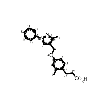 Cc1cc(OCc2cn(-c3ccccc3)nc2C)ccc1CCC(=O)O